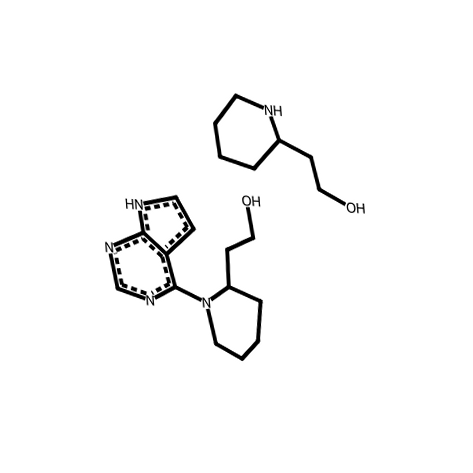 OCCC1CCCCN1.OCCC1CCCCN1c1ncnc2[nH]ccc12